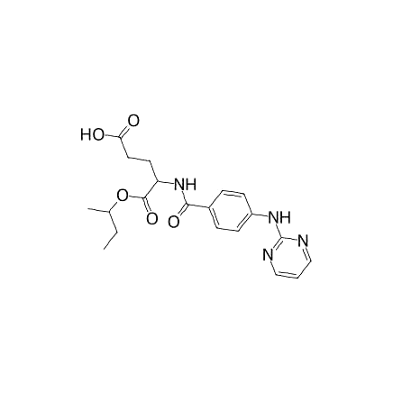 CCC(C)OC(=O)C(CCC(=O)O)NC(=O)c1ccc(Nc2ncccn2)cc1